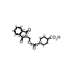 O=C(O)C1CCN(n2on2OCN2C(=O)c3ccccc3C2=O)CC1